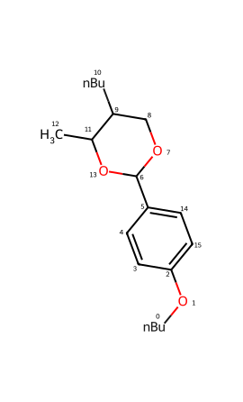 CCCCOc1ccc(C2OCC(CCCC)C(C)O2)cc1